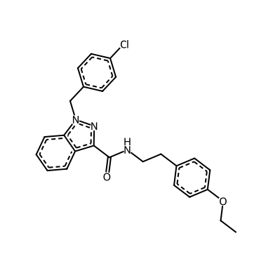 CCOc1ccc(CCNC(=O)c2nn(Cc3ccc(Cl)cc3)c3ccccc23)cc1